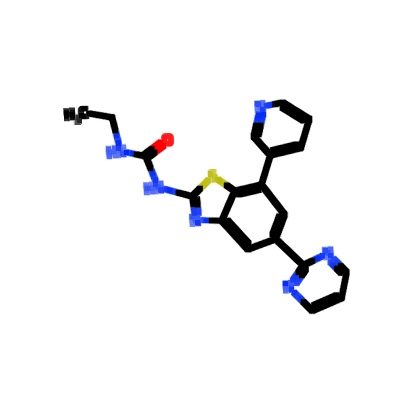 CCNC(=O)Nc1nc2cc(-c3ncccn3)cc(-c3cccnc3)c2s1